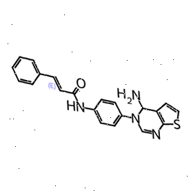 NC1c2ccsc2N=CN1c1ccc(NC(=O)/C=C/c2ccccc2)cc1